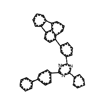 c1ccc(-c2ccc(-c3nc(-c4ccccc4)nc(-c4cccc(-c5ccc6c7c(cccc57)-c5ccccc5-6)c4)n3)cc2)cc1